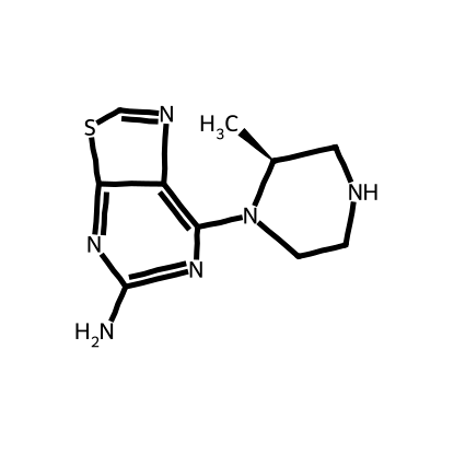 C[C@H]1CNCCN1c1nc(N)nc2scnc12